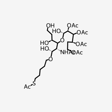 CC(=O)N[C@@H](C(O[C@H](O)[C@@H](OC(C)=O)C(OC(C)=O)[C@H](CCOC(C)=O)OC(C)=O)[C@@H](O)CCO)[C@@H](O)OCCCCCSC(C)=O